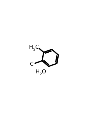 Cc1ccccc1Cl.O